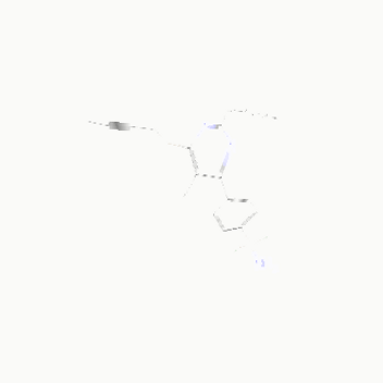 CC#CCSc1nc(CNC)nc(-c2ccc(S(N)(F)F)cc2)c1C